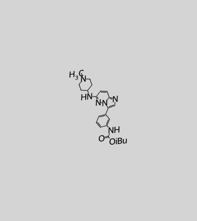 CC(C)COC(=O)Nc1cccc(-c2cnc3ccc(NC4CCN(C)CC4)nn23)c1